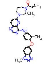 C=CC(=O)N1CCCN(c2ccc3ncnc(Nc4ccc(Oc5ccc6c(c5)nnn6C)c(C)c4)c3n2)C[C@H]1C